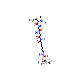 CC(C)[C@H](N)C(=O)NCC(=O)NCC(=O)NC(=O)CCCCCNC(=O)OC(C)(C)C